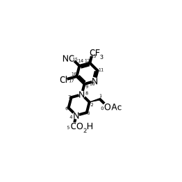 CC(=O)OC[C@H]1CN(C(=O)O)CCN1c1ncc(C(F)(F)F)c(C#N)c1Cl